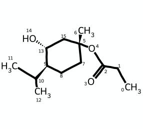 CCC(=O)O[C@]1(C)CC[C@@H](C(C)C)[C@H](O)C1